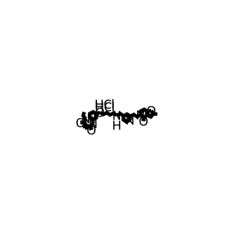 CCN1C(=O)C(C)(C)C(=O)N(C)c2cc(OCCCCNCc3ccnc(CCn4ccc5oc(C)cc5c4=O)c3)ccc21.Cl.Cl